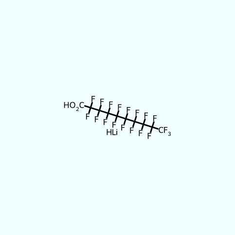 O=C(O)C(F)(F)C(F)(F)C(F)(F)C(F)(F)C(F)(F)C(F)(F)C(F)(F)C(F)(F)C(F)(F)F.[LiH]